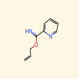 C=CCOC(=N)c1ccccn1